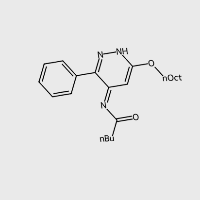 CCCCCCCCOc1cc(=NC(=O)CCCC)c(-c2ccccc2)n[nH]1